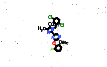 COc1cccc(F)c1Oc1cncc(-c2nc(C)c(C(=O)O)n2Cc2cc(Cl)ccc2Cl)n1